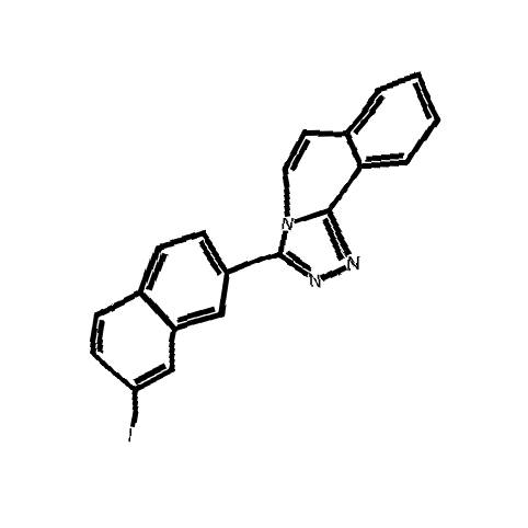 Ic1ccc2ccc(-c3nnc4c5ccccc5ccn34)cc2c1